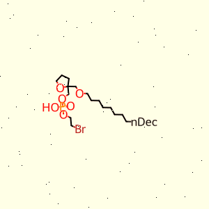 CCCCCCCCCCCCCCCCCCOCC1(COP(=O)(O)OCCBr)CCCO1